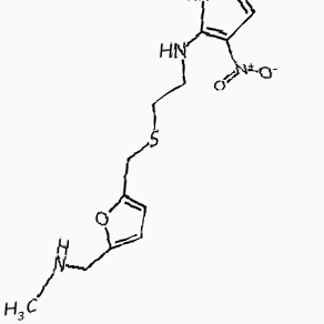 CNCc1ccc(CSCCNc2[nH]ccc2[N+](=O)[O-])o1